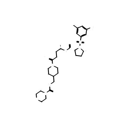 O=C(O)[C@H](CCC(=O)N1CCC(CNC(=O)N2CCOCC2)CC1)NC(=O)[C@H]1CCCN1S(=O)(=O)c1cc(Cl)cc(Cl)c1